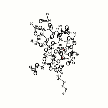 CCCCCCCCCCCC[Si](OC1OC(COC(C)=O)C(OC(C)=O)C(OC(C)=O)C1OC(C)=O)(OC1OC(COC(C)=O)C(OC(C)=O)C(OC(C)=O)C1OC(C)=O)OC1OC(COC(C)=O)C(OC(C)=O)C(OC(C)=O)C1OC(C)=O